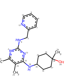 Cc1nc(NCc2ccccn2)nc(NC2CCC(C)(O)CC2)c1C